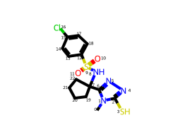 Cn1c(S)nnc1C1(NS(=O)(=O)c2ccc(Cl)cc2)CCCC1